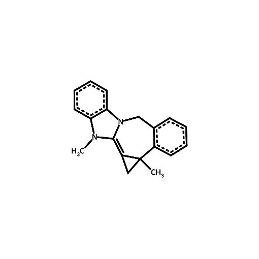 CN1C2=C3CC3(C)c3ccccc3CN2c2ccccc21